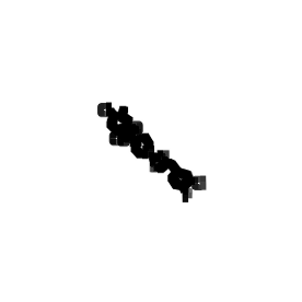 Cc1cc(S(=O)(=O)N2CCN(c3nc(Cc4ccc(F)c(Cl)c4)cs3)CC2)c(Cl)cc1Cl